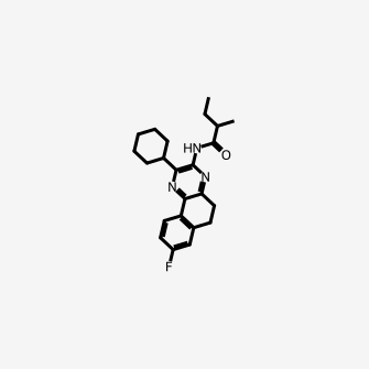 CCC(C)C(=O)Nc1nc2c(nc1C1CCCCC1)-c1ccc(F)cc1CC2